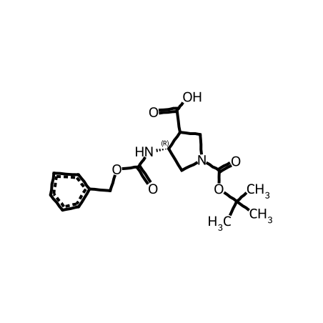 CC(C)(C)OC(=O)N1CC(C(=O)O)[C@@H](NC(=O)OCc2ccccc2)C1